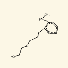 CNc1ccccc1CCCOCCO